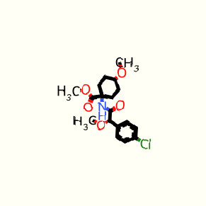 COC(=O)C1(NC(=O)C(OC)c2ccc(Cl)cc2)CCC(OC)CC1